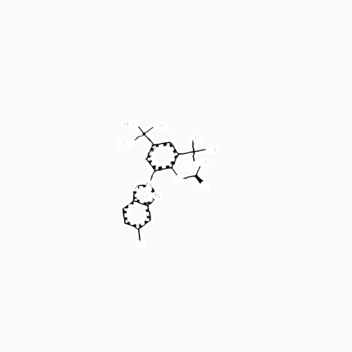 CC(=O)Oc1c(-n2nc3ccc(Cl)cc3n2)cc(C(C)(C)C)cc1C(C)(C)C